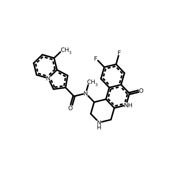 Cc1cccn2cc(C(=O)N(C)C3CNCc4[nH]c(=O)c5cc(F)c(F)cc5c43)cc12